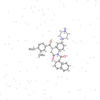 COc1ccc(C(=O)C2CC(=O)N(C(=O)c3cccc4ccccc34)c3ccc(N4CCNCC4)cc32)cc1OC